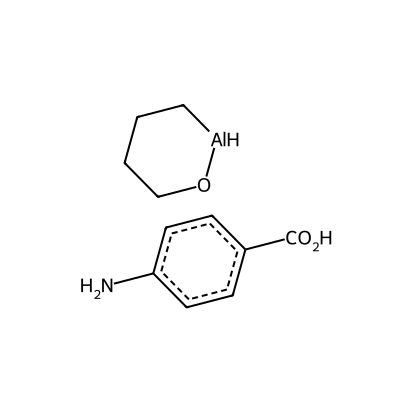 C1C[CH2][AlH][O]C1.Nc1ccc(C(=O)O)cc1